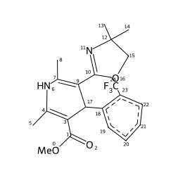 COC(=O)C1=C(C)NC(C)=C(C2=NC(C)(C)CO2)C1c1ccccc1C(F)(F)F